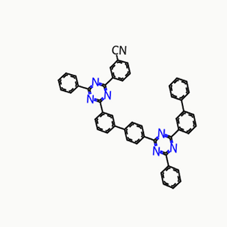 N#Cc1cccc(-c2nc(-c3ccccc3)nc(-c3cccc(-c4ccc(-c5nc(-c6ccccc6)nc(-c6cccc(-c7ccccc7)c6)n5)cc4)c3)n2)c1